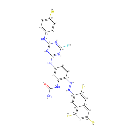 NC(=O)Nc1cc(Nc2nc(F)nc(Nc3ccc(S)cc3)n2)ccc1N=Nc1cc2c(S)cc(S)cc2cc1S